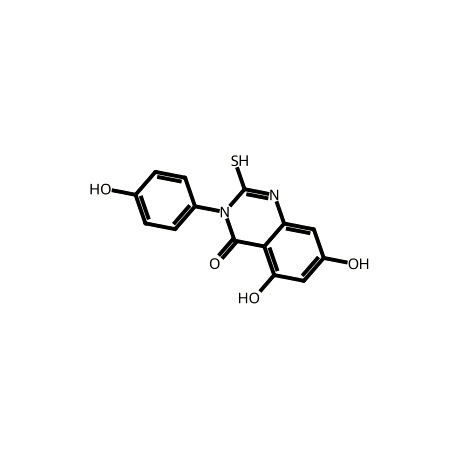 O=c1c2c(O)cc(O)cc2nc(S)n1-c1ccc(O)cc1